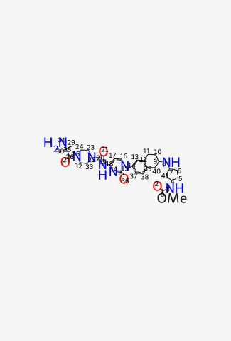 COC(=O)N[C@H]1CCC(NC2CCc3cc(-n4ccc(NC(=O)N5CCN(C(=O)C(C)(C)N)CC5)nc4=O)ccc3C2)C1